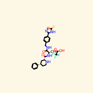 C[C@H](NC(=O)[C@H]1C[C@@H](c2ccccc2)CCN1)C(=O)NCc1ccc(-c2noc(=S)[nH]2)cc1.O=C(O)C(F)(F)F